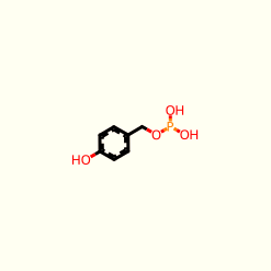 Oc1ccc(COP(O)O)cc1